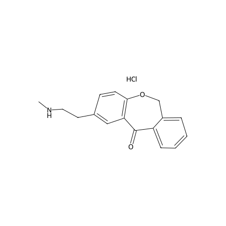 CNCCc1ccc2c(c1)C(=O)c1ccccc1CO2.Cl